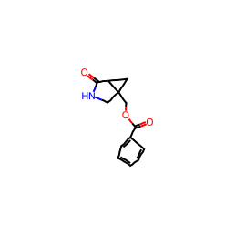 O=C(OCC12CNC(=O)C1C2)c1ccccc1